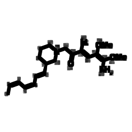 C\C=C/C=C\C=C\[C@H]1CCCN(CC(=O)/C(=C/C(OC)=C(\N)OC)CC)C1